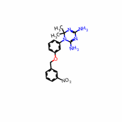 CC1(C)N=C(N)N=C(N)N1c1cccc(OCc2cccc([N+](=O)[O-])c2)c1